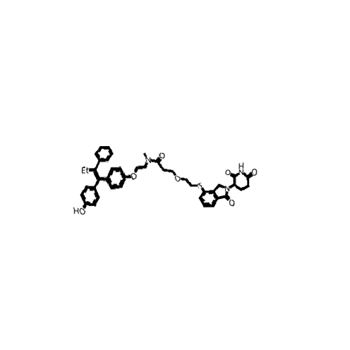 CCC(=C(c1ccc(O)cc1)c1ccc(OCCN(C)C(=O)CCOCCSc2cccc3c2CN(C2CCC(=O)NC2=O)C3=O)cc1)c1ccccc1